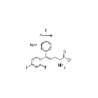 NC(C/C=C(\c1ccc(C(F)(F)F)cc1)c1ccc(F)cc1F)C(=O)[O-].[Na+]